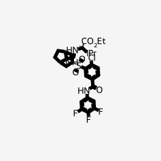 CCOC(=O)[C@@H](NC[C@]1(O)C2CCC1C[C@@H](S(=O)(=O)c1cc(C(=O)Nc3cc(F)c(F)c(F)c3)ccc1Cl)C2)C(C)C